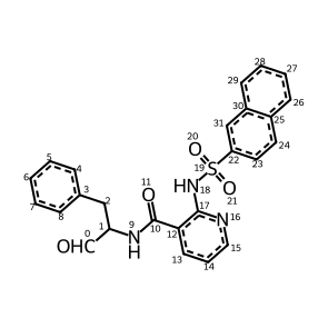 O=CC(Cc1ccccc1)NC(=O)c1cccnc1NS(=O)(=O)c1ccc2ccccc2c1